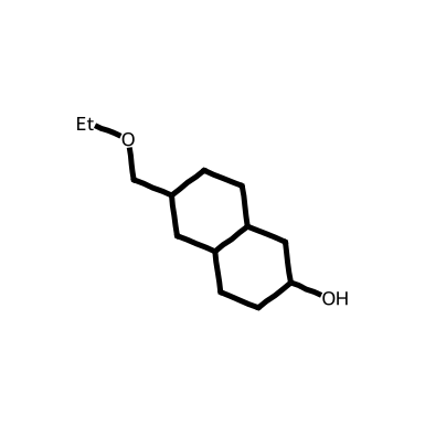 CCOCC1CCC2CC(O)CCC2C1